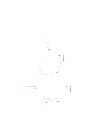 O=C1C=C2C(=O)N=CN=C2N1